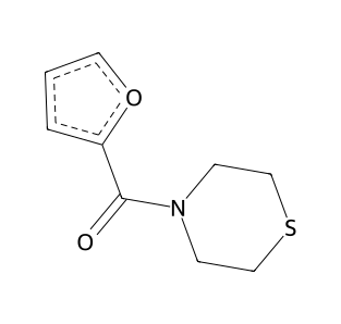 O=C(c1ccco1)N1CCSCC1